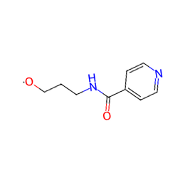 [O]CCCNC(=O)c1ccncc1